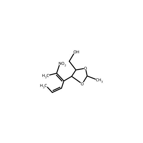 C/C=C\C(=C(/C)[N+](=O)[O-])C1OC(C)OC1CO